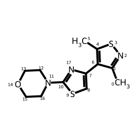 Cc1nsc(C)c1-c1csc(N2CCOCC2)n1